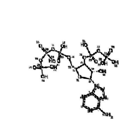 Nc1ncnc2c1ncn2[C@@H]1O[C@H](COP(=O)(O)OP(=O)(O)OP(=O)(O)O)C(OP(=O)(O)OP(=O)(O)O)[C@@H]1O